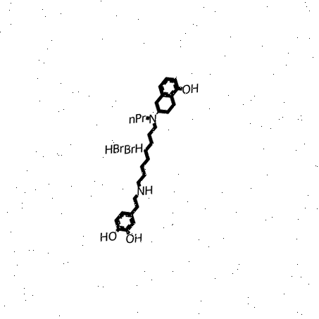 Br.Br.CCCN(CCCCCCCCNCCc1ccc(O)c(O)c1)[C@H]1CCc2c(O)cccc2C1